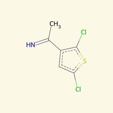 CC(=N)c1cc(Cl)sc1Cl